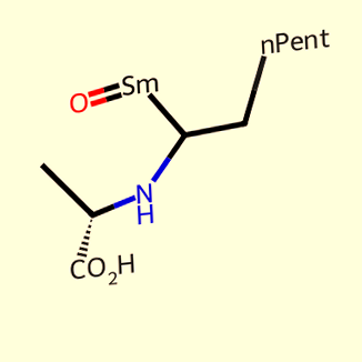 CCCCCC[CH](N[C@@H](C)C(=O)O)[Sm]=[O]